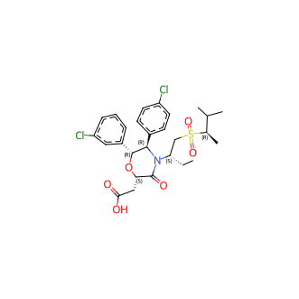 CC[C@@H](CS(=O)(=O)[C@H](C)C(C)C)N1C(=O)[C@H](CC(=O)O)O[C@H](c2cccc(Cl)c2)[C@H]1c1ccc(Cl)cc1